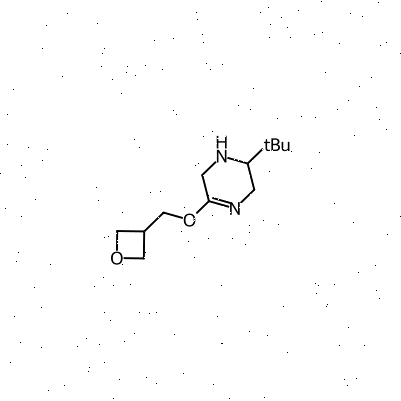 CC(C)(C)C1CN=C(OCC2COC2)CN1